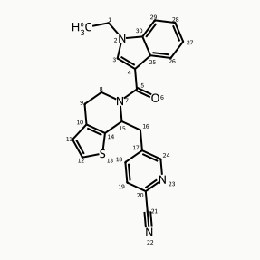 CCn1cc(C(=O)N2CCc3ccsc3C2Cc2ccc(C#N)nc2)c2ccccc21